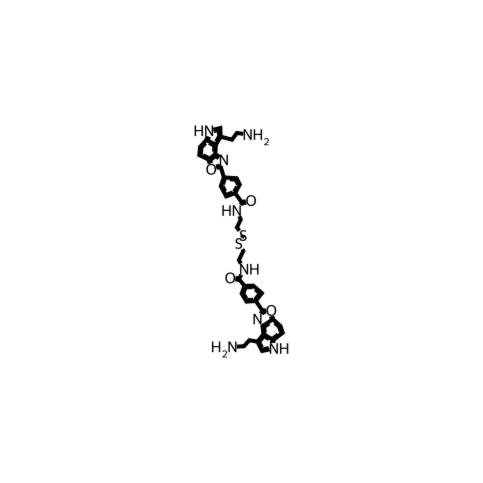 NCCc1c[nH]c2ccc3oc(-c4ccc(C(=O)NCCSSCCNC(=O)c5ccc(-c6nc7c(ccc8[nH]cc(CCN)c87)o6)cc5)cc4)nc3c12